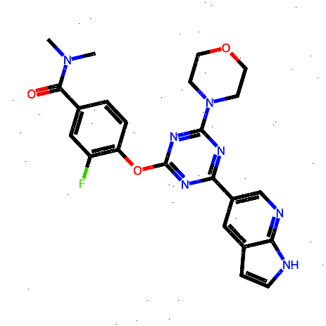 CN(C)C(=O)c1ccc(Oc2nc(-c3cnc4[nH]ccc4c3)nc(N3CCOCC3)n2)c(F)c1